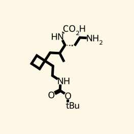 CC(CC1(CCNC(=O)OC(C)(C)C)CCC1)[C@@H](CCN)NC(=O)O